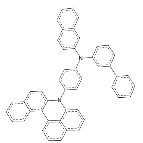 c1ccc(-c2cccc(N(c3ccc(N4c5ccc6ccccc6c5-c5cccc6cccc4c56)cc3)c3ccc4ccccc4c3)c2)cc1